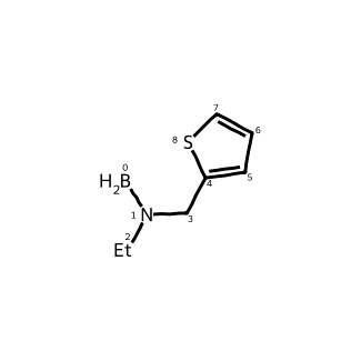 BN(CC)Cc1cccs1